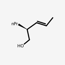 C/C=C/[C@@H](CO)CCC